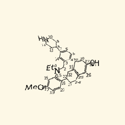 CCN(Cc1cccc(C2CCNCC2)c1)c1cc(OC)ccc1C1CCc2cc(O)ccc2C1